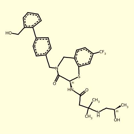 C[C@@H](O)CNC(C)(C)CC(=O)N[C@@H]1Sc2cc(C(F)(F)F)ccc2CN(Cc2ccc(-c3ccccc3CO)cc2)C1=O